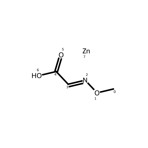 CON=CC(=O)O.[Zn]